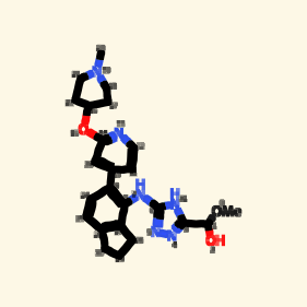 COC(O)c1nnc(Nc2c(-c3ccnc(OC4CCN(C)CC4)c3)ccc3c2CCC3)[nH]1